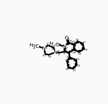 CN1CCN(Cc2c(-c3ccccc3)c3ccccc3c(=O)n2C)CC1